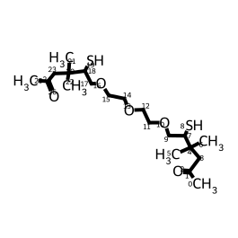 CC(=O)CC(C)(C)C(S)COCCOCCOCC(S)C(C)(C)CC(C)=O